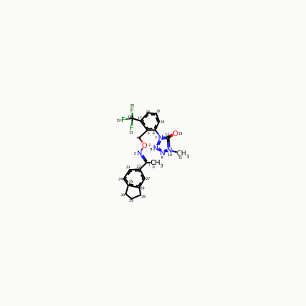 CC(=NOCc1c(-n2nnn(C)c2=O)cccc1C(F)(F)F)c1ccc2c(c1)CCC2